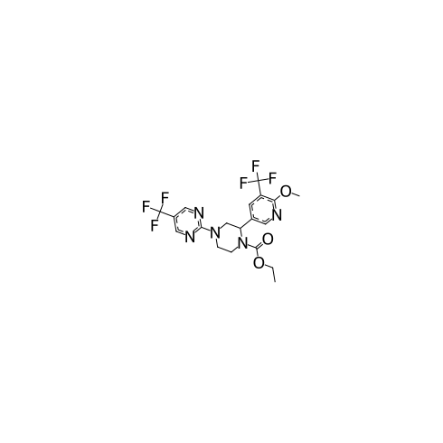 CCOC(=O)N1CCN(c2ncc(C(F)(F)F)cn2)CC1c1cnc(OC)c(C(F)(F)F)c1